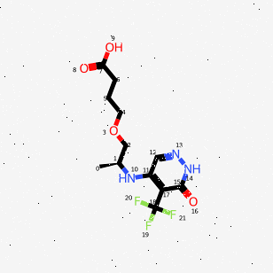 C[C@@H](COCCCC(=O)O)Nc1cn[nH]c(=O)c1C(F)(F)F